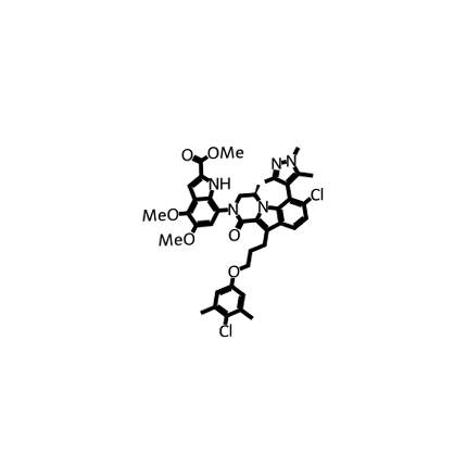 COC(=O)c1cc2c(OC)c(OC)cc(N3C[C@@H](C)n4c(c(CCCOc5cc(C)c(Cl)c(C)c5)c5ccc(Cl)c(-c6c(C)nn(C)c6C)c54)C3=O)c2[nH]1